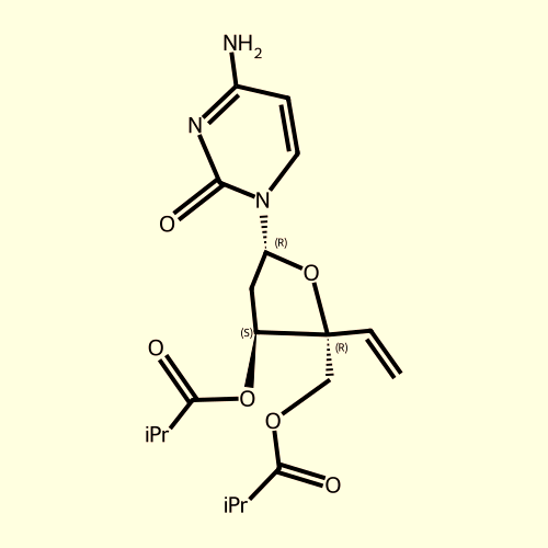 C=C[C@]1(COC(=O)C(C)C)O[C@@H](n2ccc(N)nc2=O)C[C@@H]1OC(=O)C(C)C